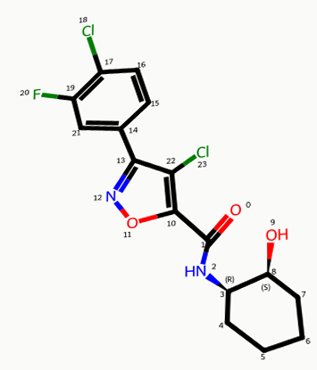 O=C(N[C@@H]1CCCC[C@@H]1O)c1onc(-c2ccc(Cl)c(F)c2)c1Cl